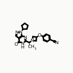 C[C@H](c1nc2c(cnn2C2CCCC2)c(=O)[nH]1)N1CC(Oc2ccc(C#N)cc2)C1